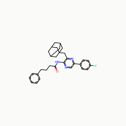 O=C(CCCc1ccccc1)Nc1ncc(-c2ccc(F)cc2)nc1CC12CC3CC(CC(C3)C1)C2